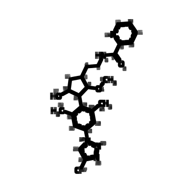 COC1C(CCNC(=O)c2ccccn2)CC(O)C1c1c(C)cc(-n2cc(Cl)nn2)cc1C